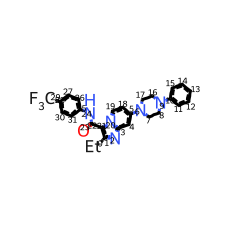 CCc1nc2cc(N3CCN(c4ccccc4)CC3)ccn2c1C(=O)Nc1ccc(C(F)(F)F)cc1